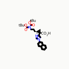 CC(C)(C)OC(=O)N(CCC[C@H]1CC1(C(=O)O)c1cn(-c2ccc3ccccc3c2)cn1)C(=O)OC(C)(C)C